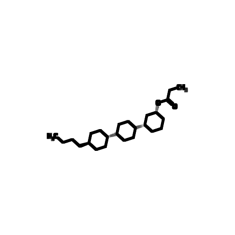 CCCC[C@H]1CC[C@H](C2CCC([C@H]3CCC[C@@H](OC(=O)CC)C3)CC2)CC1